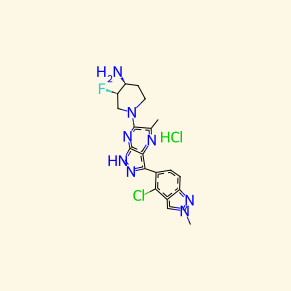 Cc1nc2c(-c3ccc4nn(C)cc4c3Cl)n[nH]c2nc1N1CC[C@H](N)[C@H](F)C1.Cl